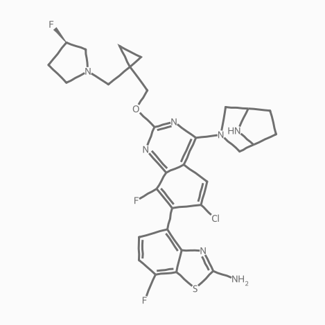 Nc1nc2c(-c3c(Cl)cc4c(N5CC6CCC(C5)N6)nc(OCC5(CN6CC[C@@H](F)C6)CC5)nc4c3F)ccc(F)c2s1